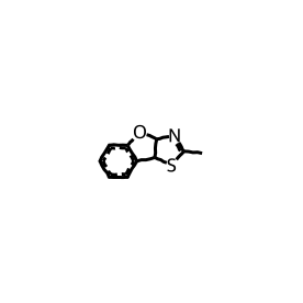 CC1=NC2Oc3ccccc3C2S1